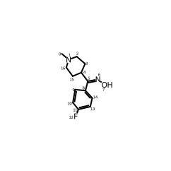 CN1CCC(C(=NO)c2ccc(F)cc2)CC1